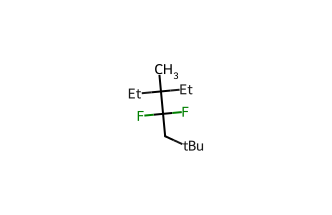 CCC(C)(CC)C(F)(F)CC(C)(C)C